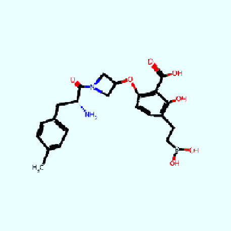 Cc1ccc(C[C@@H](N)C(=O)N2CC(Oc3ccc(CCB(O)O)c(O)c3C(=O)O)C2)cc1